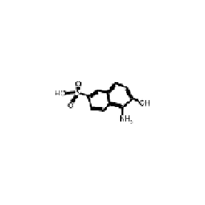 Nc1c(O)ccc2cc(S(=O)(=O)O)ccc12